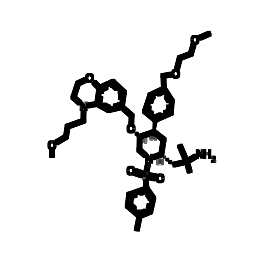 COCCCN1CCOc2ccc(CO[C@H]3CN(S(=O)(=O)c4ccc(C)cc4)[C@@H](CC(C)(C)N)C[C@@H]3c3ccc(COCCOC)cc3)cc21